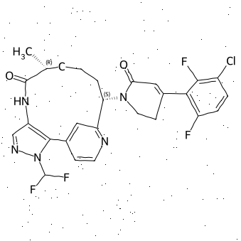 C[C@@H]1CCC[C@H](N2CCC(c3c(F)ccc(Cl)c3F)=CC2=O)c2cc(ccn2)-c2c(cnn2C(F)F)NC1=O